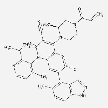 C=CC(=O)N1CCN(c2c(C#N)c(=O)n(-c3c(C)ccnc3C(C)C)c3cc(-c4c(C)ccc5[nH]ncc45)c(Cl)cc23)[C@@H](C)C1